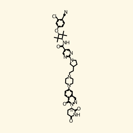 CC1(C)[C@H](NC(=O)c2cnc(N3CCC(CCN4CCN(c5ccc6c(=O)n([C@H]7CCC(=O)NC7=O)ncc6c5)CC4)C3)nc2)C(C)(C)[C@H]1Oc1ccc(C#N)c(Cl)c1